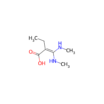 CCC(C(=O)O)=C(NC)NC